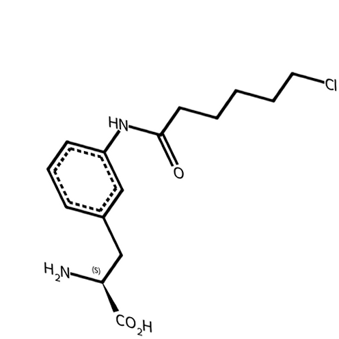 N[C@@H](Cc1cccc(NC(=O)CCCCCCl)c1)C(=O)O